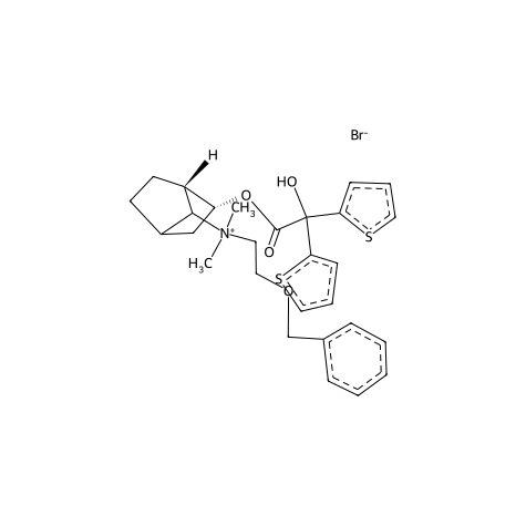 C[N+](C)(CCOCc1ccccc1)C1C2CC[C@@H]1[C@H](OC(=O)C(O)(c1cccs1)c1cccs1)C2.[Br-]